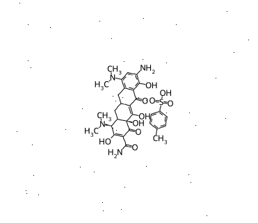 CN(C)c1cc(N)c(O)c2c1CC1CC3[C@H](N(C)C)C(O)=C(C(N)=O)C(=O)[C@@]3(O)C(O)=C1C2=O.Cc1ccc(S(=O)(=O)O)cc1